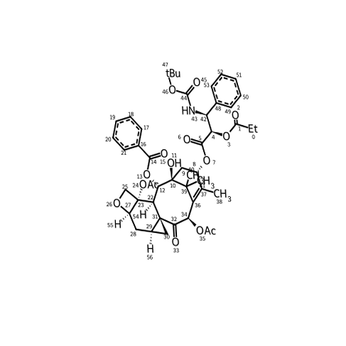 CCC(=O)O[C@@H](C(=O)O[C@H]1C[C@@]2(O)[C@@H](OC(=O)c3ccccc3)[C@@H]3[C@]4(OC(C)=O)CO[C@@H]4C[C@@H]4C[C@@]43C(=O)[C@H](OC(C)=O)C(=C1C)C2(C)C)[C@@H](NC(=O)OC(C)(C)C)c1ccccc1